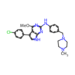 COc1nc(Nc2ccc(CN3CCN(C)CC3)cc2)nc2[nH]cc(-c3ccc(Cl)cc3)c12